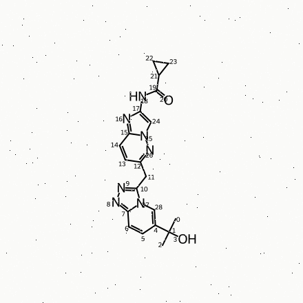 CC(C)(O)c1ccc2nnc(Cc3ccc4nc(NC(=O)C5CC5)cn4n3)n2c1